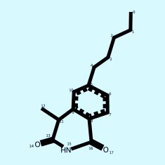 CCCCCc1ccc2c(c1)C(C)C(=O)NC2=O